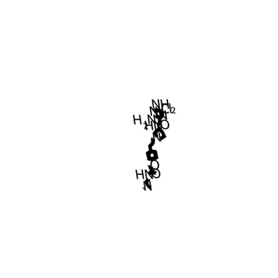 CN(C)CCNC(=O)COc1ccc(CCCN2CCC[C@H](NC(=O)c3nc(Cl)c(N)nc3N)C2)cc1